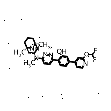 CN(c1ccc(-c2ccc(-c3ccnc(OC(F)F)c3)cc2O)nn1)[C@H]1C[C@]2(C)CCC[C@](C)(C1)N2